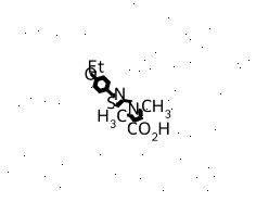 CCOc1ccc(-c2nc(Cn3c(C)cc(C(=O)O)c3C)cs2)cc1